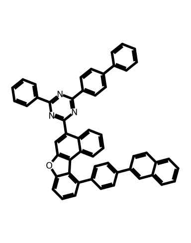 c1ccc(-c2ccc(-c3nc(-c4ccccc4)nc(-c4cc5oc6cccc(-c7ccc(-c8ccc9ccccc9c8)cc7)c6c5c5ccccc45)n3)cc2)cc1